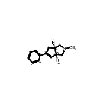 CN1C[C@H]2CC(c3ccccc3)=C[C@H]2C1